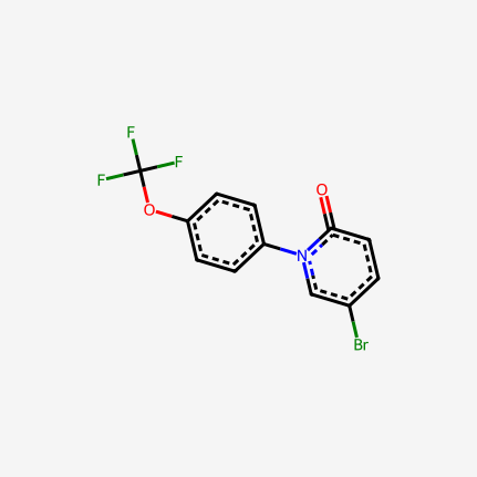 O=c1ccc(Br)cn1-c1ccc(OC(F)(F)F)cc1